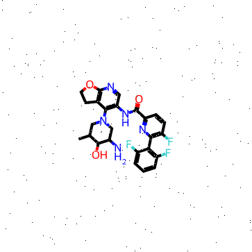 CC1CN(c2c(NC(=O)c3ccc(F)c(-c4c(F)cccc4F)n3)cnc3c2CCO3)CC(N)C1O